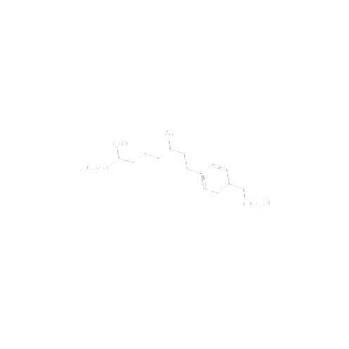 CCCCCC(O)CCCC(CCc1ccc(CC(=O)O)cc1)C(C)=O